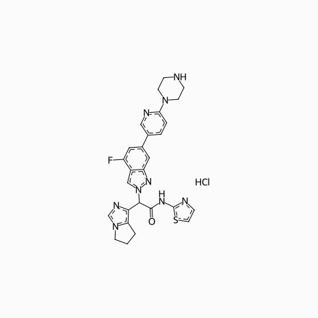 Cl.O=C(Nc1nccs1)C(c1ncn2c1CCC2)n1cc2c(F)cc(-c3ccc(N4CCNCC4)nc3)cc2n1